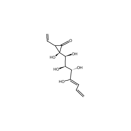 C=CC=C(O)[C@@H](O)[C@@H](O)[C@H](O)[C@@]1(O)C(=O)C1C=C